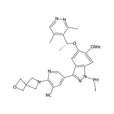 COc1cc2c(cc1O[C@H](C)c1c(C)cnnc1C)c(-c1cnc(N3CC4(COC4)C3)c(C#N)c1)nn2PI